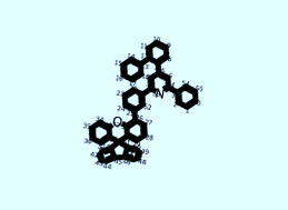 c1ccc(-c2cc(-c3ccccc3-c3ccccc3)cc(-c3cccc(-c4cccc5c4Oc4ccccc4C54c5ccccc5-c5ccccc54)c3)n2)cc1